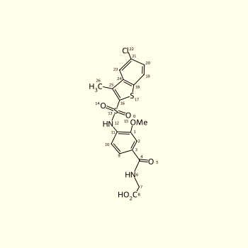 COc1cc(C(=O)NCC(=O)O)ccc1NS(=O)(=O)c1sc2ccc(Cl)cc2c1C